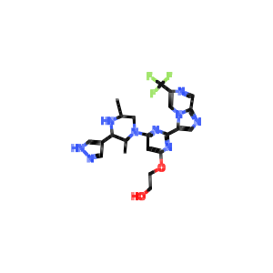 CC1CN(c2cc(OCCO)nc(-c3cnc4cnc(C(F)(F)F)cn34)n2)C(C)C(c2cn[nH]c2)N1